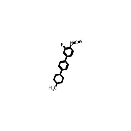 CC1CCC(c2ccc(-c3ccc(N=C=S)c(F)c3)cc2)CC1